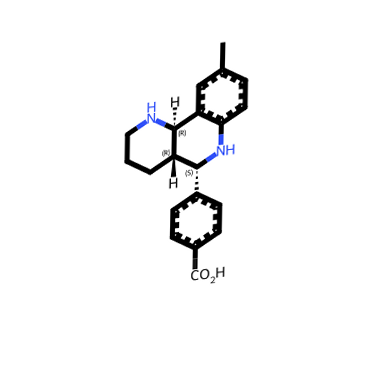 Cc1ccc2c(c1)[C@@H]1NCCC[C@H]1[C@@H](c1ccc(C(=O)O)cc1)N2